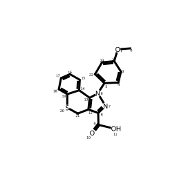 COc1ccc(-n2nc(C(=O)O)c3c2-c2ccccc2SC3)cc1